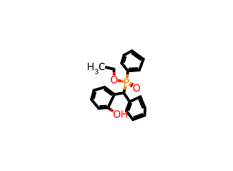 CCOP(=O)(c1ccccc1)C(c1ccccc1)c1ccccc1O